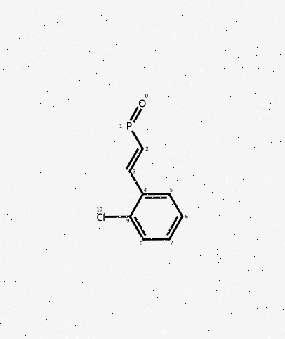 O=PC=Cc1ccccc1Cl